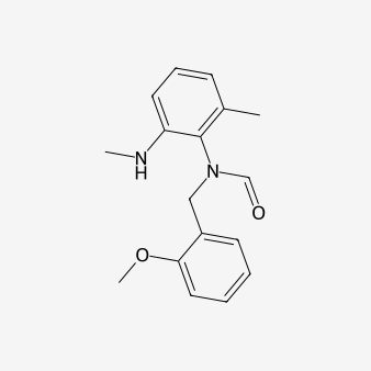 CNc1cccc(C)c1N(C=O)Cc1ccccc1OC